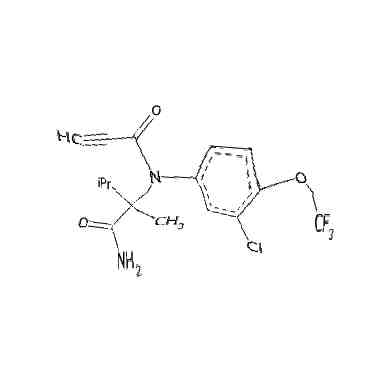 C#CC(=O)N(c1ccc(OC(F)(F)F)c(Cl)c1)C(C)(C(N)=O)C(C)C